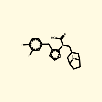 O=C(O)N(CC1CC2CCC(C1)N2)c1sccc1Cc1ccc(F)c(F)c1